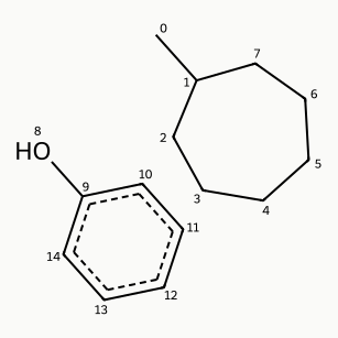 CC1CCCCCC1.Oc1ccccc1